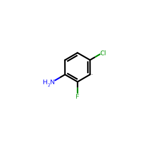 Nc1ccc(Cl)[c]c1F